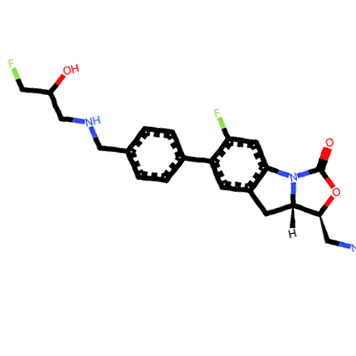 NC[C@@H]1OC(=O)N2c3cc(F)c(-c4ccc(CNCC(O)CF)cc4)cc3C[C@@H]12